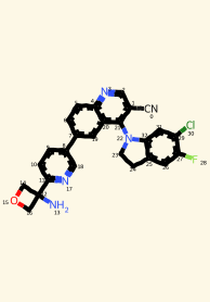 N#Cc1cnc2ccc(-c3ccc(C4(N)COC4)nc3)cc2c1N1CCc2cc(F)c(Cl)cc21